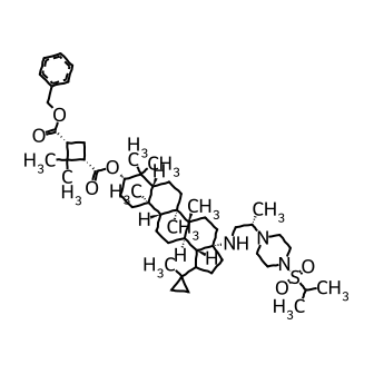 CC(C)S(=O)(=O)N1CCN([C@@H](C)CN[C@]23CCC(C4(C)CC4)[C@@H]2[C@H]2CC[C@@H]4[C@@]5(C)CC[C@H](OC(=O)[C@H]6C[C@@H](C(=O)OCc7ccccc7)C6(C)C)C(C)(C)[C@@H]5CC[C@@]4(C)[C@]2(C)CC3)CC1